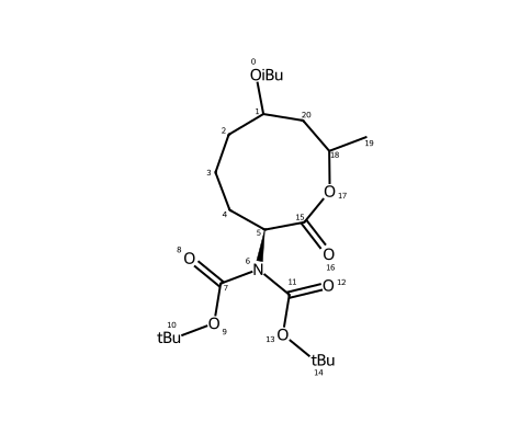 CC(C)COC1CCC[C@H](N(C(=O)OC(C)(C)C)C(=O)OC(C)(C)C)C(=O)OC(C)C1